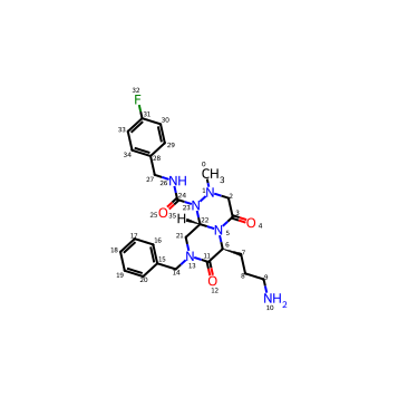 CN1CC(=O)N2[C@@H](CCCN)C(=O)N(Cc3ccccc3)C[C@@H]2N1C(=O)NCc1ccc(F)cc1